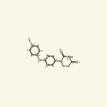 O=C1CCN(c2cnc(Oc3ccc(F)cc3)nc2)C(=O)N1